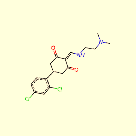 CN(C)CCNC=C1C(=O)CC(c2ccc(Cl)cc2Cl)CC1=O